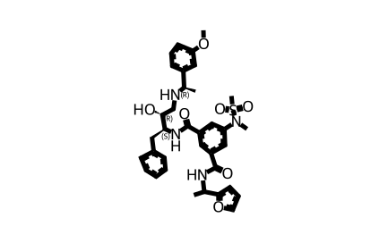 COc1cccc([C@@H](C)NC[C@@H](O)[C@H](Cc2ccccc2)NC(=O)c2cc(C(=O)NC(C)c3ccco3)cc(N(C)S(C)(=O)=O)c2)c1